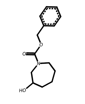 O=C(OCc1ccccc1)N1CCCCC(O)C1